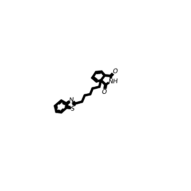 O=C1NC(=O)C2(CCCCCc3nc4ccccc4s3)C=CC=CC12